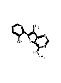 Cc1c(-c2ccccc2O)sc2c(NN)ncnc12